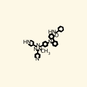 CN1C(c2ccncc2)=NC(C2=CCNC=C2)=NC1c1ccc(-n2c3ccccc3c3c4c(ccc32)NC(C2=CCCC=C2)O4)cc1